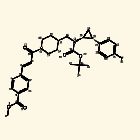 COC(=O)c1ccc(/C=C/C(=O)N2CCC(CN(C(=O)OC(C)(C)C)[C@H]3C[C@@H]3c3ccc(F)cc3)CC2)cc1